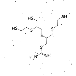 N=C(N)SCC(CSCCS)SCC(CS)SCCS